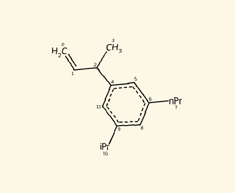 C=C[C](C)c1cc(CCC)cc(C(C)C)c1